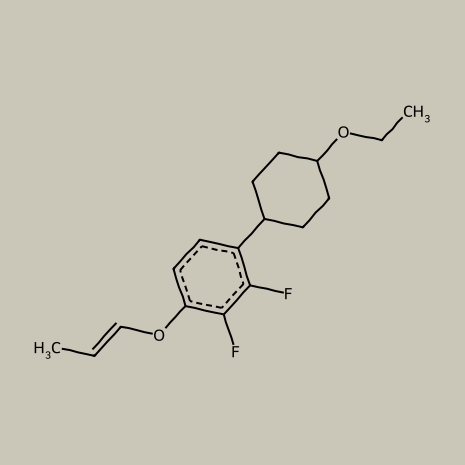 C/C=C/Oc1ccc(C2CCC(OCC)CC2)c(F)c1F